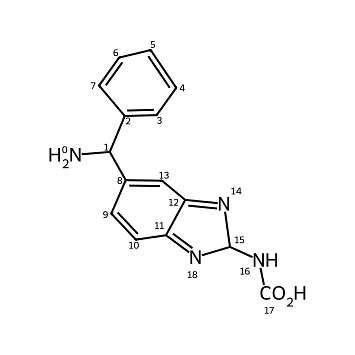 NC(c1ccccc1)c1ccc2c(c1)=NC(NC(=O)O)N=2